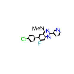 CNc1nc(-c2cccnc2)nc2cc(F)c(-c3ccc(Cl)cc3)cc12